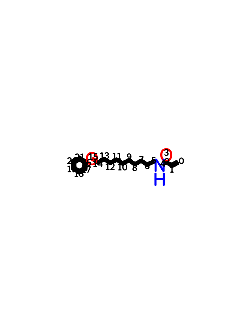 C=CC(=O)NCCCCCCCCCCOc1ccccc1